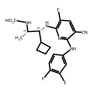 C[C@H](NC(=O)O)[C@H](Nc1nc(Nc2ccc(F)c(F)c2)c(C#N)cc1F)C1CCC1